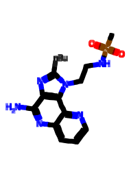 CCCCc1nc2c(N)nc3cccnc3c2n1CCNS(C)(=O)=O